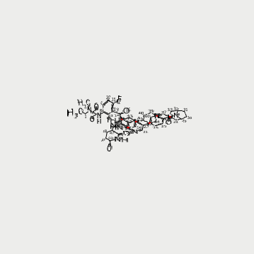 CCN(C)S(=O)(=O)Nc1ccc(F)c(C(=O)c2c[nH]c3ncc(-c4ccc(N5CC6CCC(C5)N6C(=O)CN5CCC(c6ccc(NC7CCC(=O)NC7=O)cc6)CC5)nc4)cc23)c1F